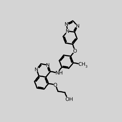 Cc1cc(Nc2ncnc3cccc(OCCO)c23)ccc1Oc1ccn2ncnc2c1